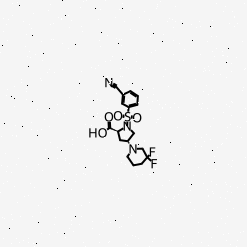 N#Cc1cccc(S(=O)(=O)N2C[C@H](N3CCCC(F)(F)C3)C[C@H]2C(=O)O)c1